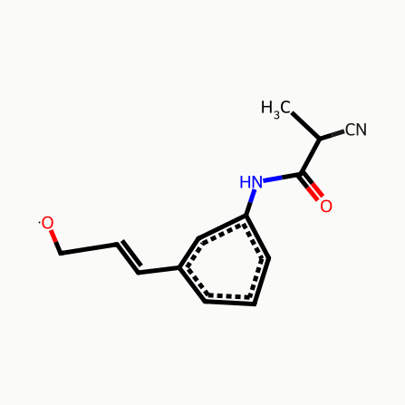 CC(C#N)C(=O)Nc1cccc(/C=C/C[O])c1